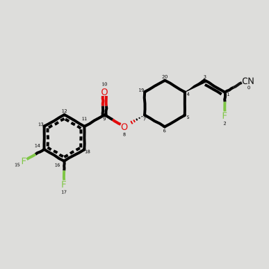 N#CC(F)=C[C@H]1CC[C@H](OC(=O)c2ccc(F)c(F)c2)CC1